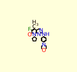 Cc1c(F)c(=O)n(C2CCCC2)c2nc(Nc3ccc(N4CCOCC4)cc3)ncc12